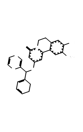 COc1cc2c(cc1O)CCn1c-2cc(OC(C2=CC=CCC2)C2=COC=CO2)cc1=O